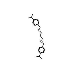 CC(C)c1ccc(COCCCOCc2ccc(C(C)C)cc2)cc1